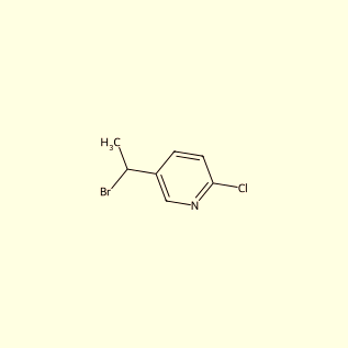 CC(Br)c1ccc(Cl)nc1